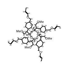 CC=COCC1CCC(C(COC)[Si]2(C)O[Si](C)(C(COC)C3CCC(COC=CC)CC3)O[Si](C)(C(COC)C3CCC(COC=CC)CC3)O[Si](C)(C(COC)C3CCC(COC=CC)CC3)O2)CC1